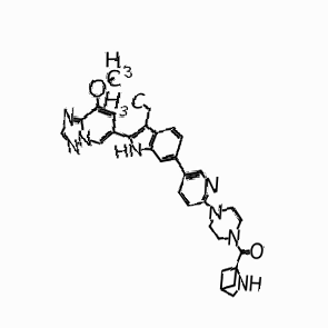 CCc1c(-c2cc(OC)c3ncnn3c2)[nH]c2cc(-c3ccc(N4CCN(C(=O)C56CC(CN5)C6)CC4)nc3)ccc12